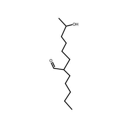 CCCCCC(C=O)CCCCC(C)O